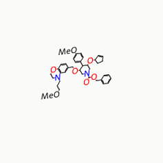 COCCCN1CCOc2ccc(COC3CN(C(=O)OCc4ccccc4)CC(OC4C=CCC4)C3c3ccc(OC)cc3)cc21